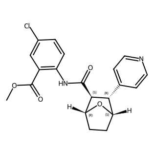 COC(=O)c1cc(Cl)ccc1NC(=O)[C@H]1[C@H](c2ccncc2)[C@@H]2CC[C@H]1O2